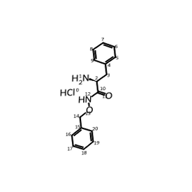 Cl.N[C@@H](Cc1ccccc1)C(=O)NOCc1ccccc1